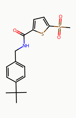 CC(C)(C)c1ccc(CNC(=O)c2ccc(S(C)(=O)=O)s2)cc1